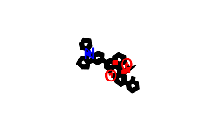 CC1CC=CC=C1c1ccc2c(c1)C1(C3=CCCC=C3OC3C=CCCC31)c1ccc(C3=CC4C5=C(CCC=C5)N(c5ccccc5)C4CC3)cc1O2